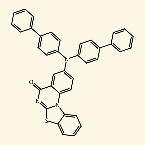 O=c1nc2sc3ccccc3n2c2ccc(N(c3ccc(-c4ccccc4)cc3)c3ccc(-c4ccccc4)cc3)cc12